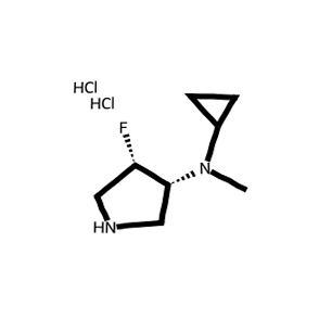 CN(C1CC1)[C@@H]1CNC[C@@H]1F.Cl.Cl